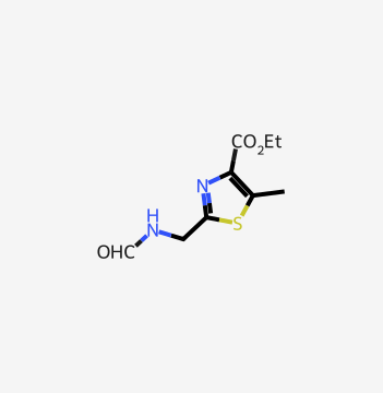 CCOC(=O)c1nc(CNC=O)sc1C